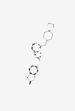 CC1(C)C(=O)Nc2cc(Nc3nc4ccnc(CC5CCC6(CC5)OCCO6)n4n3)ccc21